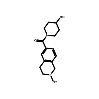 CCCN1CCc2cc(C(=O)N3CCC(C(C)(C)C)CC3)ccc2C1